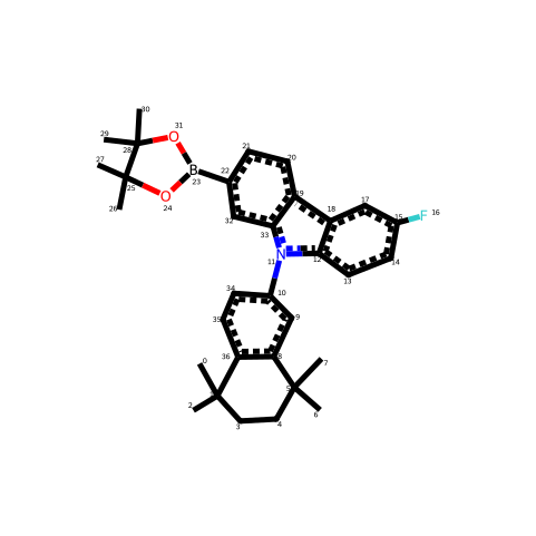 CC1(C)CCC(C)(C)c2cc(-n3c4ccc(F)cc4c4ccc(B5OC(C)(C)C(C)(C)O5)cc43)ccc21